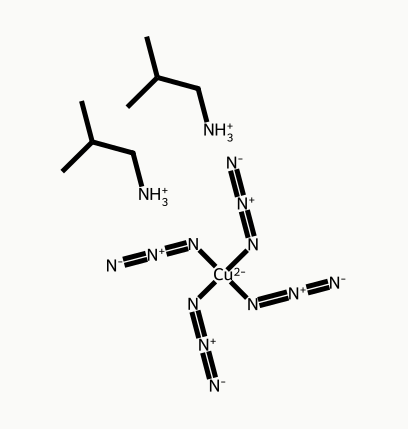 CC(C)C[NH3+].CC(C)C[NH3+].[N-]=[N+]=[N][Cu-2]([N]=[N+]=[N-])([N]=[N+]=[N-])[N]=[N+]=[N-]